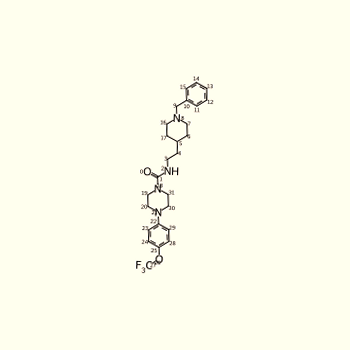 O=C(NCCC1CCN(Cc2ccccc2)CC1)N1CCN(c2ccc(OC(F)(F)F)cc2)CC1